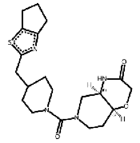 O=C1CO[C@H]2CCN(C(=O)N3CCC(Cc4nc5c(s4)CCC5)CC3)C[C@H]2N1